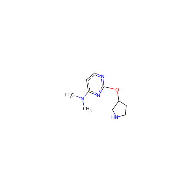 CN(C)c1ccnc(OC2CCNC2)n1